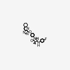 O=C(Nc1ccc(F)cc1)C1(C(=O)Nc2ccc(Oc3ncnc4cc5c(nc34)CCCC5)cc2)CC1